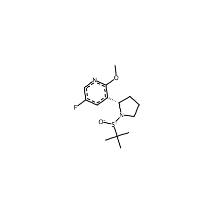 COc1ncc(F)cc1[C@@H]1CCCN1[S+]([O-])C(C)(C)C